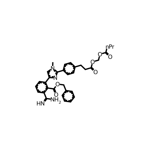 CCCC(=O)OCOC(=O)CCc1ccc(-c2nc(-c3cccc(C(=N)N)c3C(=O)OCc3ccccc3)cn2C)cc1